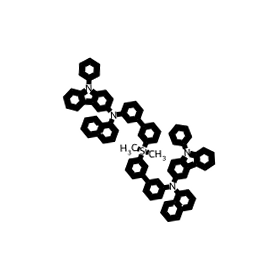 C[Si](C)(c1cccc(-c2cccc(N(c3ccc4c(c3)c3ccccc3n4-c3ccccc3)c3cccc4ccccc34)c2)c1)c1cccc(-c2cccc(N(c3ccc4c(c3)c3ccccc3n4-c3ccccc3)c3cccc4ccccc34)c2)c1